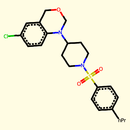 CCCc1ccc(S(=O)(=O)N2CCC(N3COCc4cc(Cl)ccc43)CC2)cc1